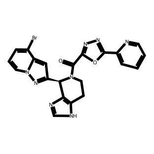 O=C(c1nnc(-c2ccccn2)o1)N1CCc2[nH]cnc2[C@H]1c1cc2c(Br)cccn2n1